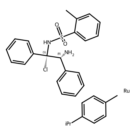 Cc1ccc(C(C)C)cc1.Cc1ccccc1S(=O)(=O)N[C@](Cl)(c1ccccc1)[C@H](N)c1ccccc1.[Ru]